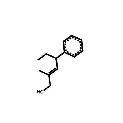 CCC(/C=C(\C)CO)c1ccccc1